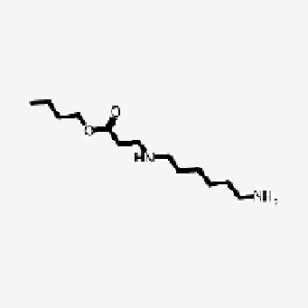 CCCCOC(=O)CCNCCCCCCN